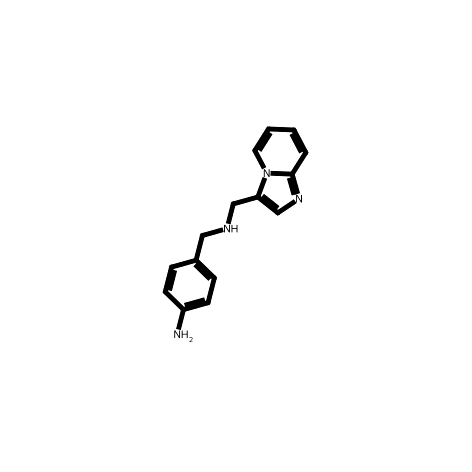 Nc1ccc(CNCc2cnc3ccccn23)cc1